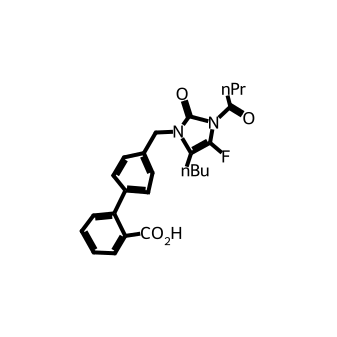 CCCCc1c(F)n(C(=O)CCC)c(=O)n1Cc1ccc(-c2ccccc2C(=O)O)cc1